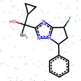 BC(O)(c1nc2n(n1)C(c1ccccc1)CC2F)C1CC1